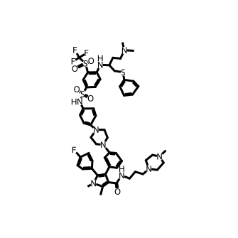 Cc1c(C(=O)NCCCN2CCN(C)CC2)c(-c2cccc(N3CCN(c4ccc(NS(=O)(=O)c5ccc(NC(CCN(C)C)CSc6ccccc6)c(S(=O)(=O)C(F)(F)F)c5)cc4)CC3)c2)c(-c2ccc(F)cc2)n1C